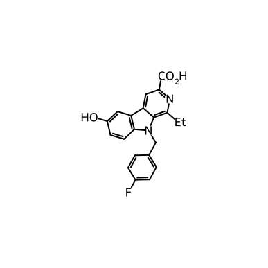 CCc1nc(C(=O)O)cc2c3cc(O)ccc3n(Cc3ccc(F)cc3)c12